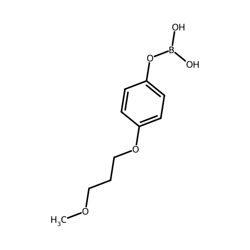 COCCCOc1ccc(OB(O)O)cc1